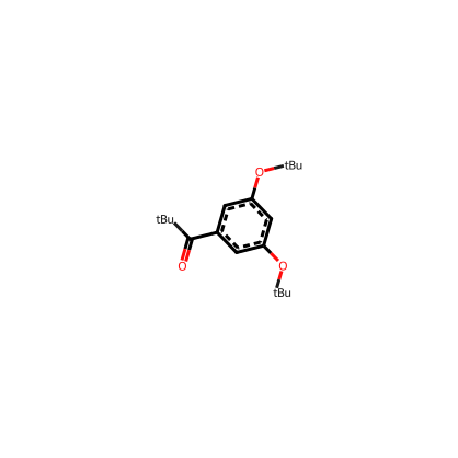 CC(C)(C)Oc1cc(OC(C)(C)C)cc(C(=O)C(C)(C)C)c1